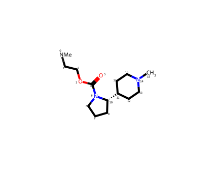 CNCCOC(=O)N1CCC[C@H]1C1CCN(C)CC1